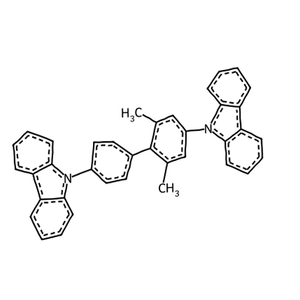 Cc1cc(-n2c3ccccc3c3ccccc32)cc(C)c1-c1ccc(-n2c3ccccc3c3ccccc32)cc1